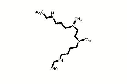 CN(CCCCNCC=O)CCN(C)CCCNCC(=O)O